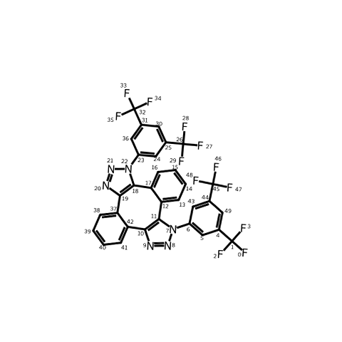 FC(F)(F)c1cc(-n2nnc3c2-c2ccccc2-c2c(nnn2-c2cc(C(F)(F)F)cc(C(F)(F)F)c2)-c2ccccc2-3)cc(C(F)(F)F)c1